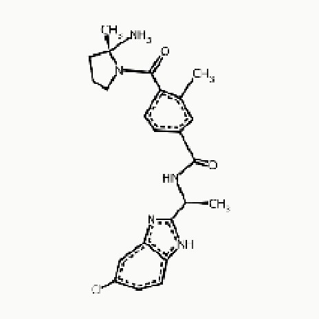 Cc1cc(C(=O)N[C@@H](C)c2nc3cc(Cl)ccc3[nH]2)ccc1C(=O)N1CCC[C@]1(C)N